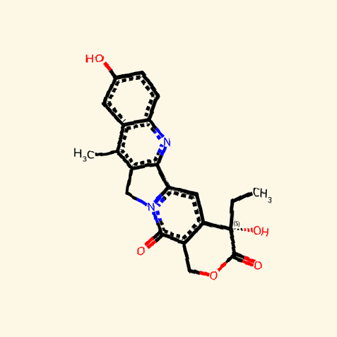 CC[C@@]1(O)C(=O)OCc2c1cc1n(c2=O)Cc2c-1nc1ccc(O)cc1c2C